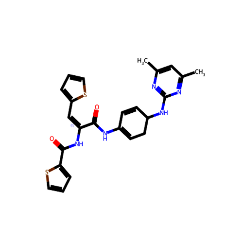 Cc1cc(C)nc(NC2C=CC(NC(=O)/C(=C\c3cccs3)NC(=O)c3cccs3)=CC2)n1